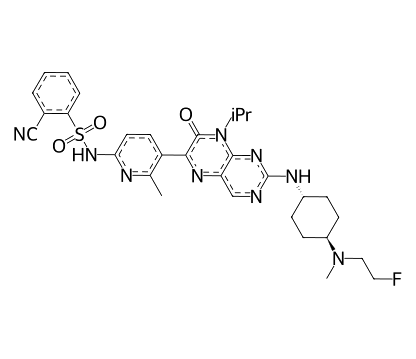 Cc1nc(NS(=O)(=O)c2ccccc2C#N)ccc1-c1nc2cnc(N[C@H]3CC[C@H](N(C)CCF)CC3)nc2n(C(C)C)c1=O